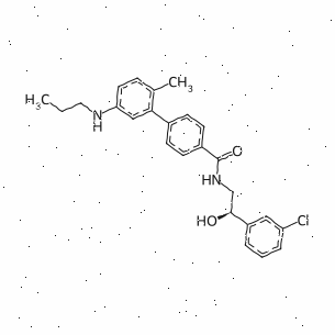 CCCNc1ccc(C)c(-c2ccc(C(=O)NC[C@H](O)c3cccc(Cl)c3)cc2)c1